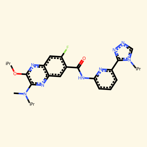 CC(C)Oc1nc2cc(F)c(C(=O)Nc3cccc(-c4nncn4C(C)C)n3)cc2nc1N(C)C(C)C